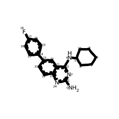 Nc1nc(NC2CCCCC2)c2cc(-c3ccc(F)cc3)ccc2n1